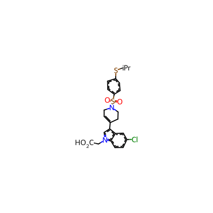 CC(C)Sc1ccc(S(=O)(=O)N2CC=C(c3cn(CC(=O)O)c4ccc(Cl)cc34)CC2)cc1